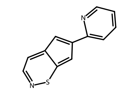 c1ccc(-c2cc3ccnsc-3c2)nc1